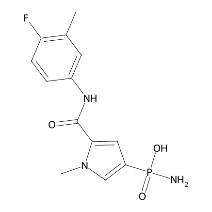 Cc1cc(NC(=O)c2cc(P(N)(=O)O)cn2C)ccc1F